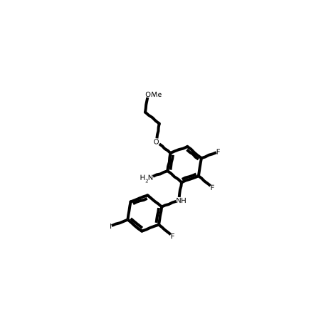 COCCOc1cc(F)c(F)c(Nc2ccc(I)cc2F)c1N